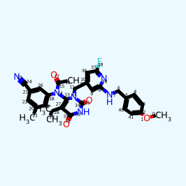 COc1ccc(CNc2cc(Cn3c(N(C(C)=O)c4cc(C)cc(C#N)c4)c(C(C)C)c(=O)[nH]c3=O)cc(F)n2)cc1